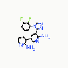 Nc1ncccc1-c1cnc(N)c(-c2nncn2-c2cccc(F)c2F)c1